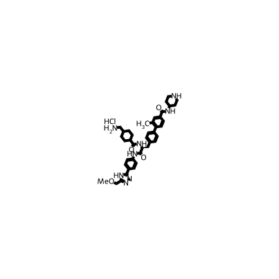 COCc1nnc(-c2ccc(NC(=O)[C@H](Cc3ccc(-c4ccc(C(=O)NC5CCNCC5)cc4C)cc3)NC(=O)C3CCC(CN)CC3)cc2)[nH]1.Cl